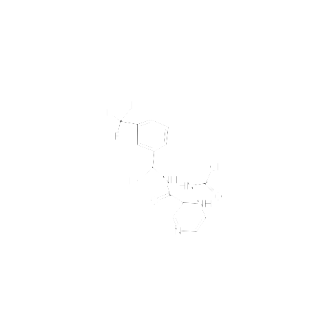 CC(=O)N[C@@]1(C(=O)NC(C)c2cccc(C(F)(F)F)c2)C=NC=CN1